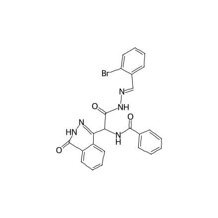 O=C(NC(C(=O)N/N=C/c1ccccc1Br)c1n[nH]c(=O)c2ccccc12)c1ccccc1